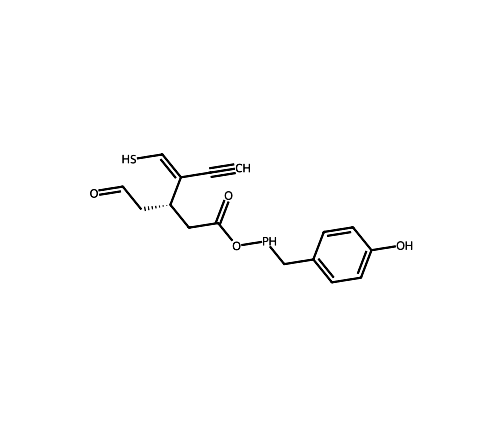 C#C/C(=C/S)[C@@H](CC=O)CC(=O)OPCc1ccc(O)cc1